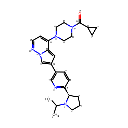 CC(C)N1CCC[C@@H]1c1ccc(-c2cc3c(N4CCN(C(=O)C5CC5)CC4)ccnn3c2)cn1